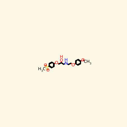 COc1ccc(OCCNCC(O)COc2ccc(S(C)(=O)=O)cc2)cc1